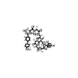 CCCCc1ccc(-c2ccc(C(=O)N[C@H](CO)C(=O)N[C@H](C)C(=O)NCC(=O)N(C)[C@H](C(=O)N[C@@H](C)C(=O)N[C@@H](C)C(=O)N[C@@H](C)B3OC4C[C@@H]5C[C@@H](C5(C)C)[C@]4(C)O3)[C@@H](C)O)cc2)cc1